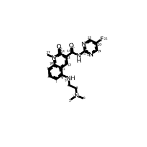 CN(C)CCNc1cccc2c1cc(C(=O)Nc1ncc(F)cn1)c(=O)n2C